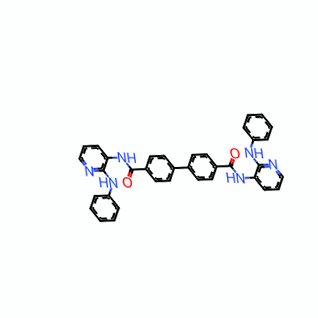 O=C(Nc1cccnc1Nc1ccccc1)c1ccc(-c2ccc(C(=O)Nc3cccnc3Nc3ccccc3)cc2)cc1